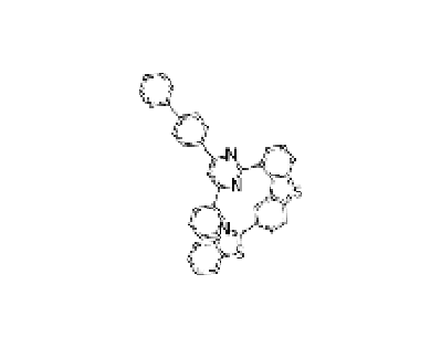 c1ccc(-c2ccc(-c3cc(-c4ccccc4)nc(-c4cccc5sc6ccc(-c7nc8ccccc8s7)cc6c45)n3)cc2)cc1